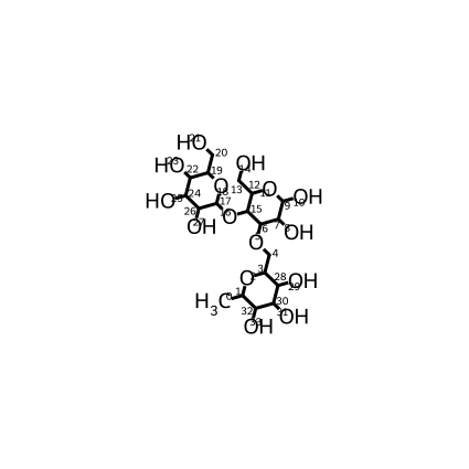 CC1OC(COC2C(O)C(O)OC(CO)C2OC2OC(CO)C(O)C(O)C2O)C(O)C(O)C1O